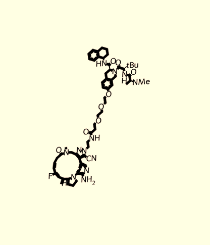 C=C1/C=C(F)\C=C/CC(=O)N(C)Cc2nn(CCNC(=O)CCOCCOCCOc3ccc4c(c3)CN(C(=O)[C@@H](NC(=O)[C@H](C)NC)C(C)(C)C)[C@H](C(=O)N[C@@H]3CCCc5ccccc53)C4)c(C#N)c2-c2cnc(N)c(c2)N2CCC[C@H]12